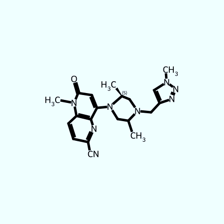 CC1CN(c2cc(=O)n(C)c3ccc(C#N)nc23)[C@@H](C)CN1Cc1cn(C)nn1